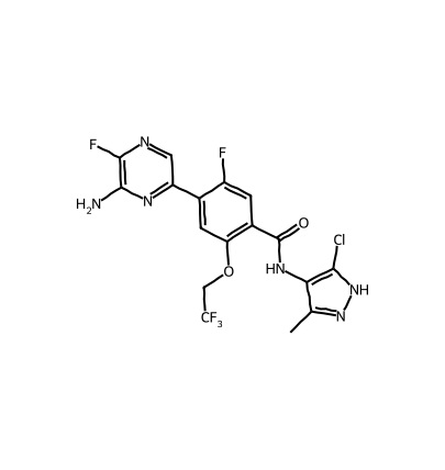 Cc1n[nH]c(Cl)c1NC(=O)c1cc(F)c(-c2cnc(F)c(N)n2)cc1OCC(F)(F)F